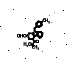 Cc1ccc(Cn2c3c(c4ccccc42)C(C(=O)N(C)C)CN(C=O)C3)cc1